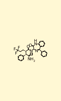 NC(=O)[C@@H](c1ccccc1)[C@@H](CCC(F)(F)F)C(=O)NC1N=C(c2ccccc2)c2ccccc2NC1=O